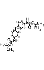 CC(C)OC(=O)NC1CCC(CC2CCC(NC(=O)OC(C)C)CC2)CC1